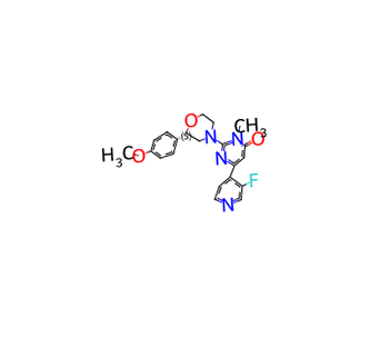 COc1ccc([C@H]2CN(c3nc(-c4ccncc4F)cc(=O)n3C)CCO2)cc1